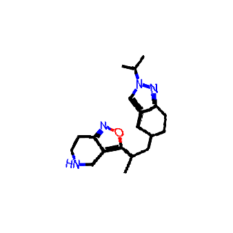 CC(CC1CCc2nn(C(C)C)cc2C1)c1onc2c1CNCC2